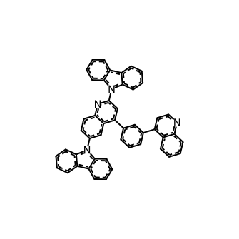 c1cc(-c2ccnc3ccccc23)cc(-c2cc(-n3c4ccccc4c4ccccc43)nc3ccc(-n4c5ccccc5c5ccccc54)cc23)c1